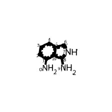 Nc1cccc2[c][nH]c(N)c12